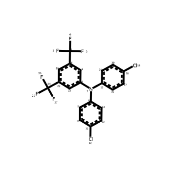 FC(F)(F)c1cc(N(c2ccc(Cl)cc2)c2ccc(Cl)cc2)cc(C(F)(F)F)c1